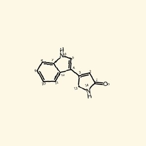 O=C1C=C(c2c[nH]c3ccccc23)CN1